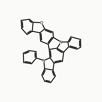 c1ccc(-n2c3ccccc3c3cc4c5ccccc5n5c6cc7oc8ccccc8c7cc6c(c32)c45)cc1